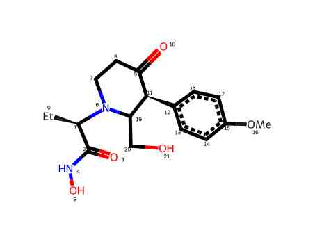 CC[C@H](C(=O)NO)N1CCC(=O)[C@@H](c2ccc(OC)cc2)C1CO